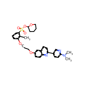 Cc1c(OCCCOc2ccc3nc(-c4ccc(N(C)C)nc4)ccc3c2)cccc1S(=O)(=O)OC1CCCCO1